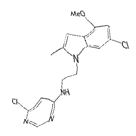 COc1cc(Cl)cc2c1cc(C)n2CCNc1cc(Cl)ncn1